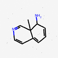 CC12C=NC=CC1=CC=CC2N